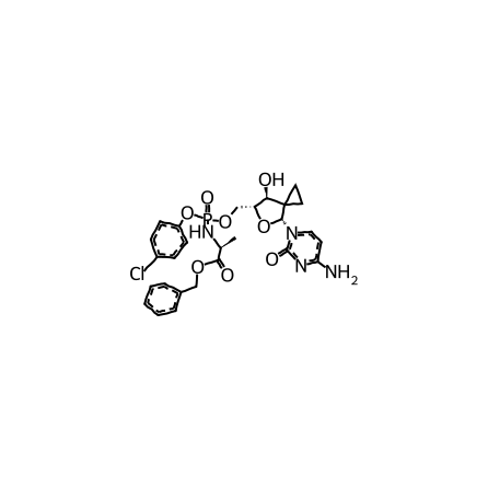 C[C@H](NP(=O)(OC[C@H]1O[C@@H](n2ccc(N)nc2=O)C2(CC2)[C@@H]1O)Oc1ccc(Cl)cc1)C(=O)OCc1ccccc1